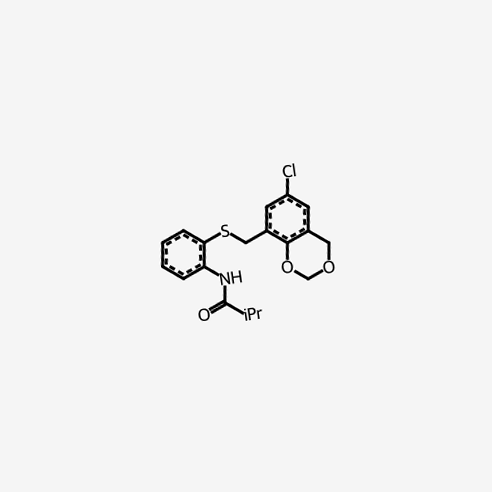 CC(C)C(=O)Nc1ccccc1SCc1cc(Cl)cc2c1OCOC2